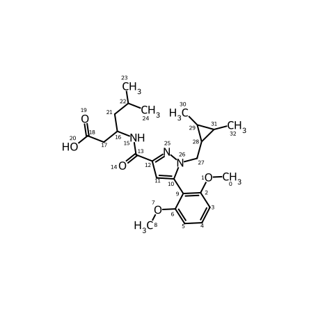 COc1cccc(OC)c1-c1cc(C(=O)NC(CC(=O)O)CC(C)C)nn1CC1C(C)C1C